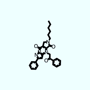 CCCCCCN1Cc2c(n(CC(=O)c3ccccc3)c3cc(-c4ccccc4)nn3c2=O)C1=O